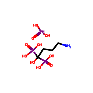 NCCCC(O)(P(=O)(O)O)P(=O)(O)O.O=[PH](O)O